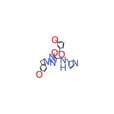 COc1cccc(COc2nc(N3CCc4cc(OC)ccc43)ncc2C(=O)NCc2cccnc2)c1